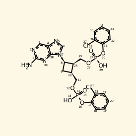 Nc1ncc2ncn([C@@H]3C[C@H](COP(=O)(O)Oc4ccccc4Cl)[C@@H]3COP(=O)(O)Oc3ccccc3Cl)c2n1